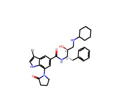 CCc1c[nH]c2c(N3CCCC3=O)cc(C(=O)N[C@@H](Cc3ccccc3)[C@@H](O)CNC3CCCCC3)cc12